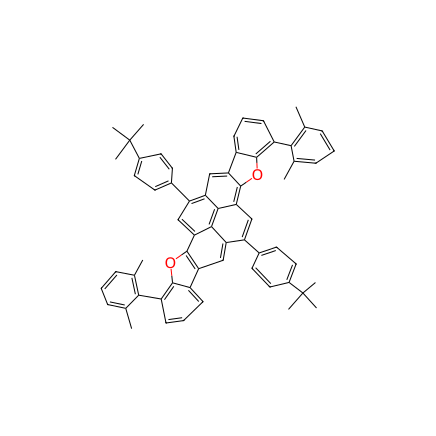 Cc1cccc(C)c1-c1cccc2c1oc1c2cc2c(-c3ccc(C(C)(C)C)cc3)cc3c4oc5c(-c6c(C)cccc6C)cccc5c4cc4c(-c5ccc(C(C)(C)C)cc5)cc1c2c43